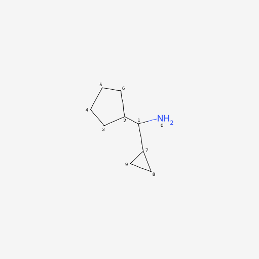 NC(C1CCCC1)C1CC1